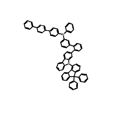 c1ccc(-c2ccc(-c3ccc(N(c4ccccc4)c4cccc(-c5ccccc5-c5ccc6c7ccccc7n(-c7cccc8c7-c7ccccc7C8(c7ccccc7)c7ccccc7)c6c5)c4)cc3)cc2)cc1